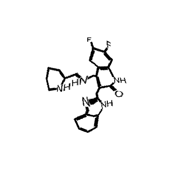 O=c1[nH]c2cc(F)c(F)cc2c(NCC2CCCCN2)c1-c1nc2ccccc2[nH]1